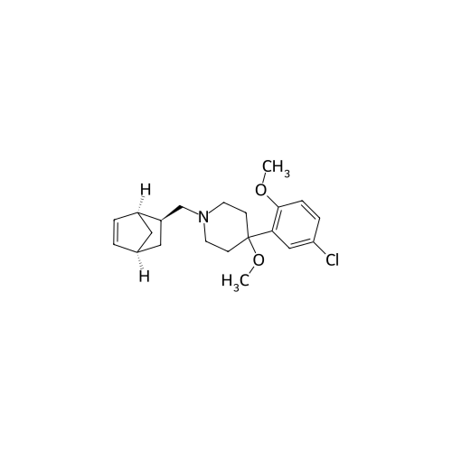 COc1ccc(Cl)cc1C1(OC)CCN(C[C@H]2C[C@H]3C=C[C@@H]2C3)CC1